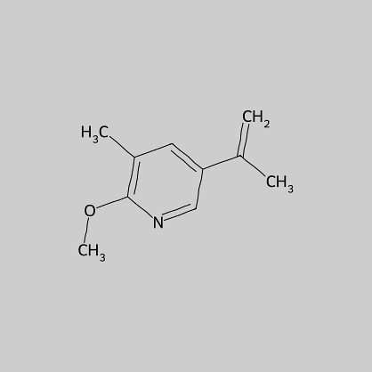 C=C(C)c1cnc(OC)c(C)c1